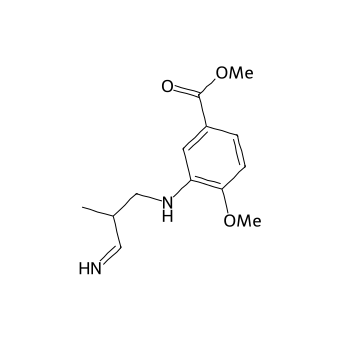 COC(=O)c1ccc(OC)c(NCC(C)C=N)c1